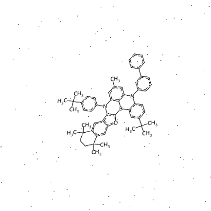 Cc1cc2c3c(c1)N(c1ccc(C(C)(C)C)cc1)c1c(oc4cc5c(cc14)C(C)(C)CCC5(C)C)B3c1cc(C(C)(C)C)ccc1N2c1cccc(-c2ccccc2)c1